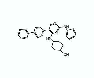 OC1CCC(Nc2nc(Nc3ccccc3)ncc2-c2ccc(-c3ccccc3)cn2)CC1